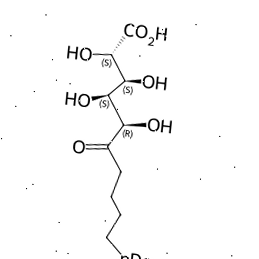 CCCCCCCCCCCCCCC(=O)[C@H](O)[C@@H](O)[C@H](O)[C@H](O)C(=O)O